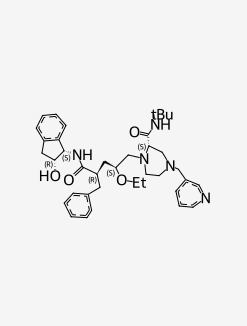 CCO[C@@H](C[C@@H](Cc1ccccc1)C(=O)N[C@H]1c2ccccc2C[C@H]1O)CN1CCN(Cc2cccnc2)C[C@H]1C(=O)NC(C)(C)C